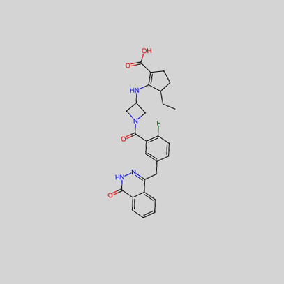 CCC1CCC(C(=O)O)=C1NC1CN(C(=O)c2cc(Cc3n[nH]c(=O)c4ccccc34)ccc2F)C1